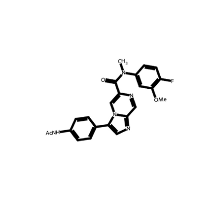 COc1cc(N(C)C(=O)c2cn3c(-c4ccc(NC(C)=O)cc4)cnc3cn2)ccc1F